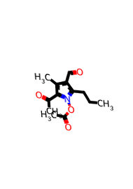 CCCc1c(C=O)c(C)c(C(C)=O)n1OC(C)=O